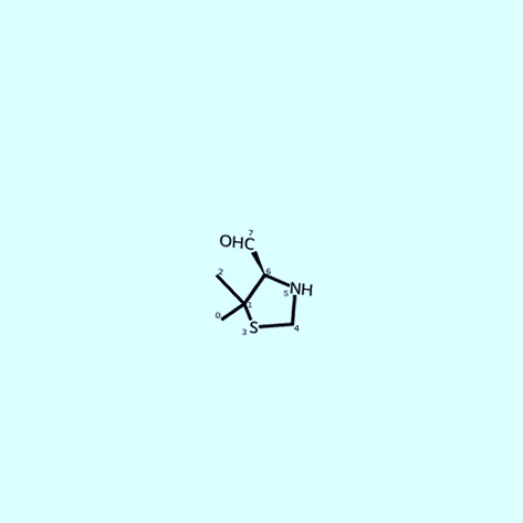 CC1(C)SCN[C@@H]1C=O